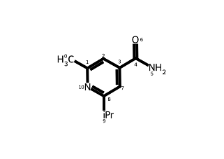 Cc1cc(C(N)=O)cc(C(C)C)n1